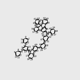 c1ccc(-c2cc(-c3ccccc3)cc(-n3c4ccccc4c4cc(-c5cccc(-c6ccc(N(c7ccccc7)c7ccc8c(c7)-c7ccccc7C8(c7ccccc7)c7ccccc7)cc6)c5)ccc43)c2)cc1